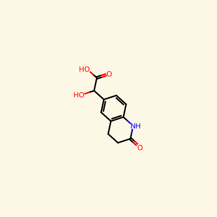 O=C1CCc2cc(C(O)C(=O)O)ccc2N1